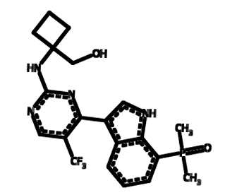 CP(C)(=O)c1cccc2c(-c3nc(NC4(CO)CCC4)ncc3C(F)(F)F)c[nH]c12